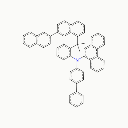 CC1(C)c2c(cccc2N(c2ccc(-c3ccccc3)cc2)c2cc3ccccc3c3ccccc23)-c2c(-c3ccc4ccccc4c3)ccc3cccc1c23